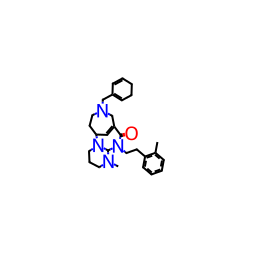 Cc1ccccc1CCN1C(=O)C2=CC(CCN(CC3=CCCC=C3)C2)N2CCCN(C)C12